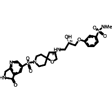 CNS(=O)(=O)c1cccc(OC[C@@H](O)CN[C@H]2COC3(CCN(S(=O)(=O)c4cnc5c(c4)C(=O)NC5)CC3)C2)c1